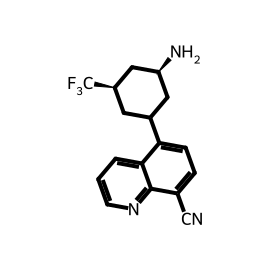 N#Cc1ccc(C2C[C@H](N)C[C@H](C(F)(F)F)C2)c2cccnc12